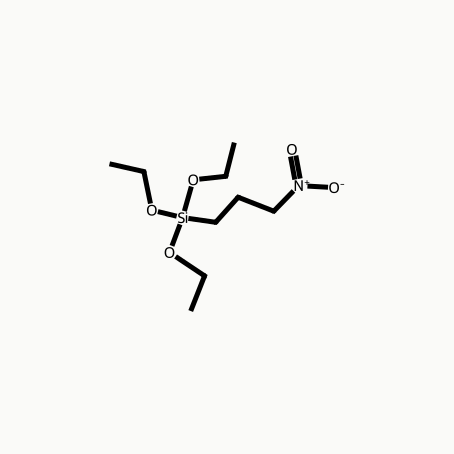 CCO[Si](CCC[N+](=O)[O-])(OCC)OCC